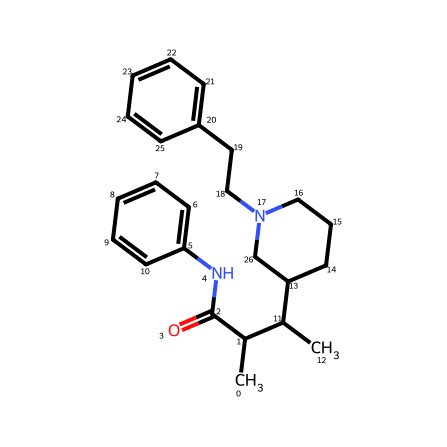 CC(C(=O)Nc1ccccc1)C(C)C1CCCN(CCc2ccccc2)C1